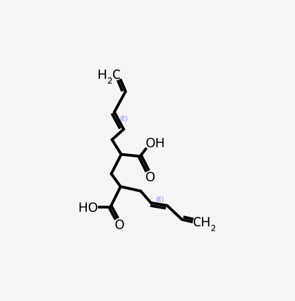 C=C/C=C/CC(CC(C/C=C/C=C)C(=O)O)C(=O)O